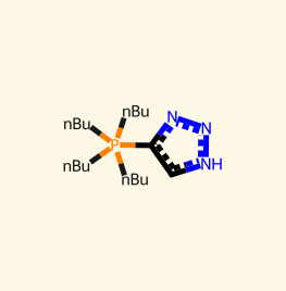 CCCCP(CCCC)(CCCC)(CCCC)c1c[nH]nn1